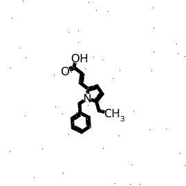 CCc1ccc(C=CC(=O)O)n1Cc1ccccc1